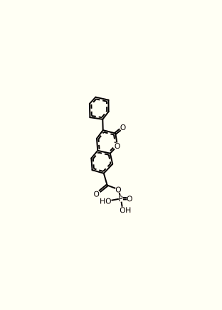 O=C(OP(=O)(O)O)c1ccc2cc(-c3ccccc3)c(=O)oc2c1